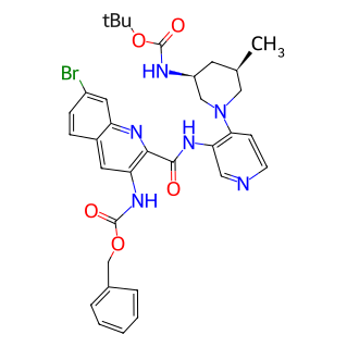 C[C@@H]1C[C@H](NC(=O)OC(C)(C)C)CN(c2ccncc2NC(=O)c2nc3cc(Br)ccc3cc2NC(=O)OCc2ccccc2)C1